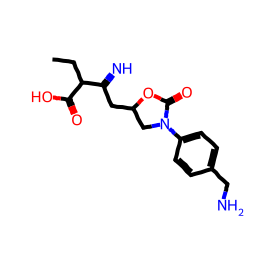 CCC(C(=N)CC1CN(c2ccc(CN)cc2)C(=O)O1)C(=O)O